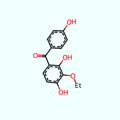 CCOc1c(O)ccc(C(=O)c2ccc(O)cc2)c1O